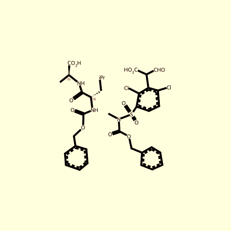 CC(C)C[C@H](NC(=O)OCc1ccccc1)C(=O)N[C@@H](C)C(=O)O.CN(C(=O)OCc1ccccc1)S(=O)(=O)c1ccc(Cl)c(C(C=O)C(=O)O)c1Cl